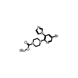 CC(C)(C)OC(=O)N1CCN(c2ncc(Br)cc2-n2ccnc2)CC1